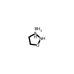 B.B1CCON1